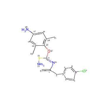 C=C(Cc1ccc(Cl)cc1)/N=C(/Oc1c(C)cc(N)cc1C)SN